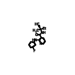 C#CC(C)(CC)NC(=O)c1cccnc1Nc1cccc(F)c1